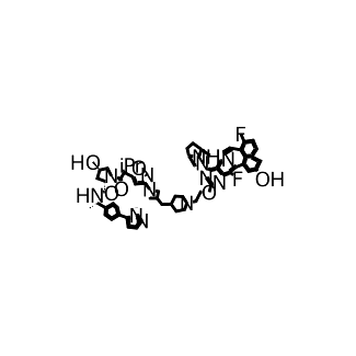 C#Cc1c(F)ccc2cc(O)cc(-c3ncc4c(N5CC6CCC(C5)N6)nc(OCCN5CCC(CC6CN(c7cc([C@@H](C(=O)N8C[C@H](O)C[C@H]8C(=O)N[C@@H](C)c8ccc(-c9ccnn9C)cc8)C(C)C)on7)C6)CC5)nc4c3F)c12